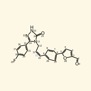 O=Cc1ccc(-c2ccc(/C=C\Cn3c(-c4ccc(F)cc4)n[nH]c3=O)cc2)o1